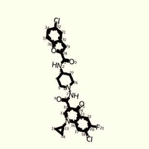 O=C(NC1CCN(NC(=O)c2cn(C3CC3)c3cc(Cl)c(F)cc3c2=O)CC1)c1cc2cc(Cl)ccc2o1